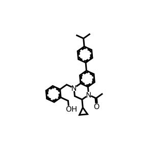 CC(=O)N1c2ccc(-c3ccc(C(C)C)cc3)cc2N(Cc2ccccc2CO)CC1C1CC1